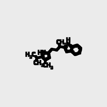 Cc1cc(CCC(C)c2cc3ccccc3[nH]2)[nH]c1C(C)C